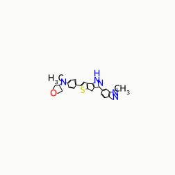 CN(c1ccc(-c2cc3c(s2)Cc2c(-c4ccc5cnn(C)c5c4)n[nH]c2-3)cc1)C1CCOCC1